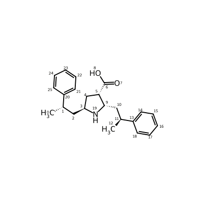 C[C@@H](C[C@H]1C[C@H](C(=O)O)[C@H](C[C@H](C)c2ccccc2)N1)c1ccccc1